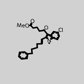 COC(=O)CCCC(=O)c1c(/C=C/CCCCc2ccccc2)n(C)c2ccc(Cl)cc12